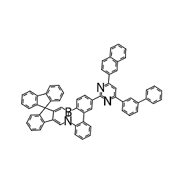 C1=C2C(=CB3c4ccc(-c5nc(-c6cccc(-c7ccccc7)c6)cc(-c6ccc7ccccc7c6)n5)cc4-c4ccccc4N13)C1(c3ccccc32)c2ccccc2-c2ccccc21